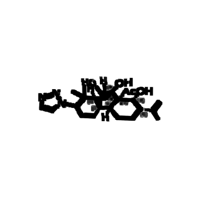 C=C(C)[C@@H]1CC[C@H]2[C@]34C=CC(n5ccnn5)C(C)(C)[C@H]3[C@H](O)[C@](O)(OC4)[C@@]2(C(C)=O)[C@@H]1O